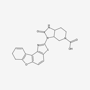 O=C(O)N1CCC2NC(=O)N(c3nc4c(ccc5oc6c(c54)C=CCC6)s3)C2C1